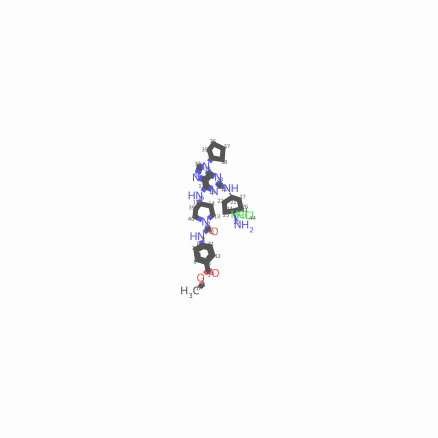 CCOC(=O)c1ccc(NC(=O)N2CCC(Nc3nc(N[C@H]4CC[C@H](N)CC4)nc4c3ncn4C3CCCC3)CC2)cc1.Cl.Cl